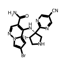 CC[C@H]1CNC[C@]1(Nc1c(C(N)=O)cnn2cc(Br)cc12)c1ncc(C#N)cn1